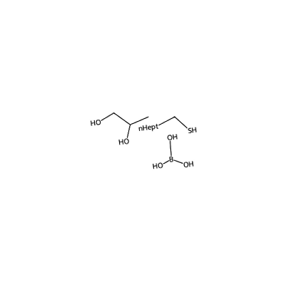 CC(O)CO.CCCCCCCCS.OB(O)O